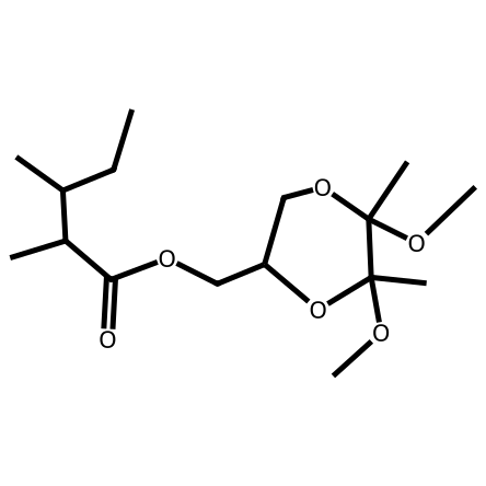 CCC(C)C(C)C(=O)OCC1COC(C)(OC)C(C)(OC)O1